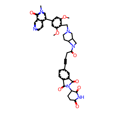 COc1cc(-c2cn(C)c(=O)c3cnccc23)cc(OC)c1CN1CCC2C(C1)CN2C(=O)CC#Cc1ccc2c(c1)C(=O)N(C1CCC(=O)NC1=O)C2=O